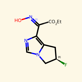 CCOC(=O)/C(=N/O)c1ncn2c1C[C@@H](F)C2